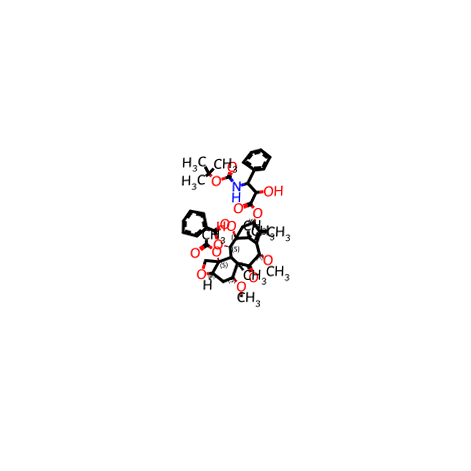 CO[C@H]1C(=O)[C@@]2(C)C([C@H](OC(=O)c3ccccc3)[C@]3(O)C[C@H](OC(=O)C(O)C(NC(=O)OC(C)(C)C)c4ccccc4)C(C)=C1C3(C)C)[C@]1(OC(C)=O)CO[C@@H]1C[C@@H]2OC